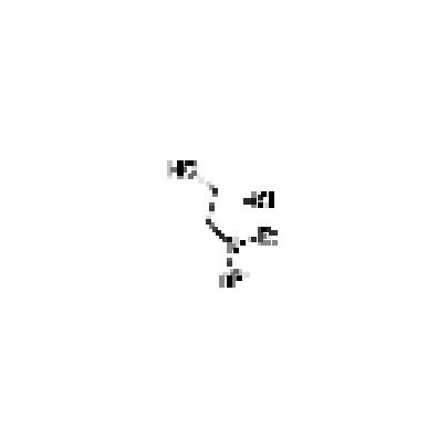 CCCN(CC)CCO.Cl